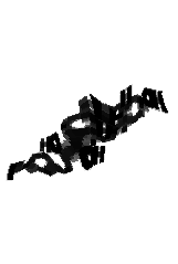 C[C@]12CC[C@H](O)C[C@@H]1CC[C@@H]1[C@@H]2CC[C@]2(C)[C@@H]([C@H](O)[C@@H](O)Cc3ccc(F)cc3)CC[C@@H]12